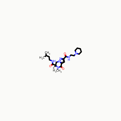 CC(C)CCNC(=O)C1(C)Cn2nc(C(=O)NCCN3CCCCC3)cc2C(=O)N1C